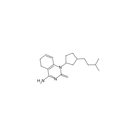 C=C1N=C(N)C2=C(C=CCC2)N1C1CCC(CCC(C)C)C1